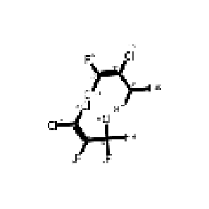 FC(=C(Cl)Cl)C(F)(F)Cl.FC(Cl)=C(Cl)C(F)F